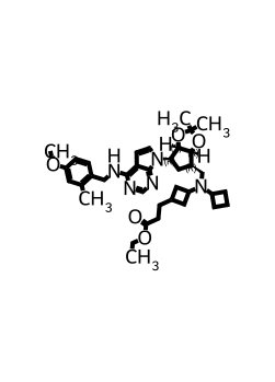 CCOC(=O)CCC1CC(N(C[C@H]2C[C@@H](n3ccc4c(NCc5ccc(OC)cc5C)ncnc43)[C@@H]3OC(C)(C)O[C@H]23)C2CCC2)C1